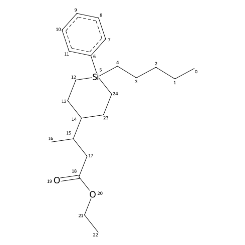 CCCCC[Si]1(c2ccccc2)CCC(C(C)CC(=O)OCC)CC1